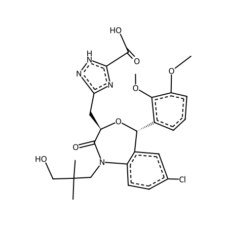 COc1cccc([C@H]2O[C@H](Cc3n[nH]c(C(=O)O)n3)C(=O)N(CC(C)(C)CO)c3ccc(Cl)cc32)c1OC